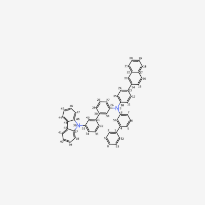 c1ccc(-c2cccc(N(c3ccc(-c4ccc5ccccc5c4)cc3)c3cccc(-c4cccc(-n5c6ccccc6c6ccccc65)c4)c3)c2)cc1